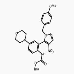 COc1ccc(Cn2ncc([N+](=O)[O-])c2-c2cc(N3CCOCC3)ccc2NC(=O)OC(C)(C)C)cc1